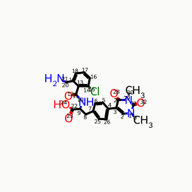 Cn1cc(-c2ccc(CC(NC(=O)c3c(Cl)cccc3CN)C(=O)O)cc2)c(=O)n(C)c1=O